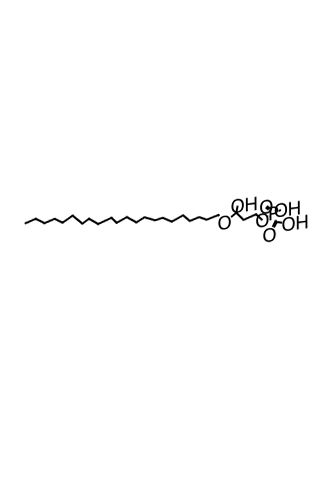 CCCCCCCCCCCCCCCCCCCCCCOC(O)CCOP(=O)(O)C(=O)O